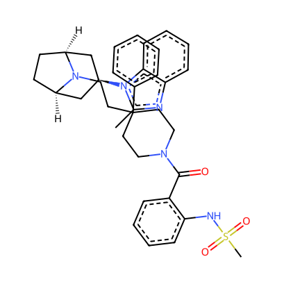 Cc1nc2ccccc2n1[C@H]1C[C@H]2CC[C@@H](C1)N2CCC1(c2ccccc2)CCN(C(=O)c2ccccc2NS(C)(=O)=O)CC1